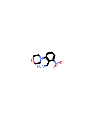 NCc1c(N2CCOCC2)cccc1[N+](=O)[O-]